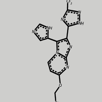 FC(F)(F)COc1ccn2c(-c3cnc[nH]3)c(-c3nc(C(F)(F)F)n[nH]3)nc2n1